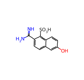 N=C(N)c1ccc2cc(O)ccc2c1S(=O)(=O)O